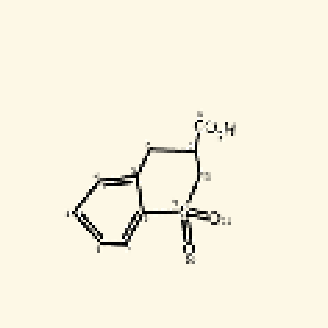 O=C(O)C1Cc2ccccc2S(=O)(=O)C1